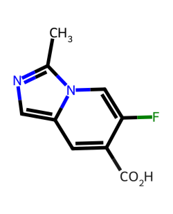 Cc1ncc2cc(C(=O)O)c(F)cn12